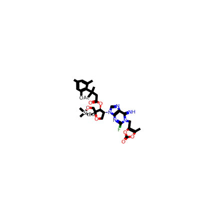 CC(=O)Oc1cc(C)cc(C)c1C(C)(C)CC(=O)O[C@H]1[C@H](n2cnc3c(=N)n(Cc4oc(=O)oc4C)c(F)nc32)CO[C@]1(C)CO[Si](C)(C)C(C)(C)C